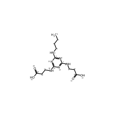 CCCCNc1nc(NCCC(=O)O)nc(NCCC(=O)O)n1